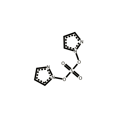 O=S(=O)(On1cccn1)On1cccn1